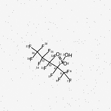 O=S(=O)(O)C(F)(C(F)(F)F)C(F)(F)C(F)(F)C(F)(F)F